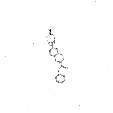 O=C(Cc1ccccc1)N1CCc2nc(N3C4CCC3CNC4)ccc2C1